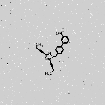 CCC#Cc1nc(C#CCC)n(Cc2ccc(-c3cccc(C(=O)O)c3)cc2)n1